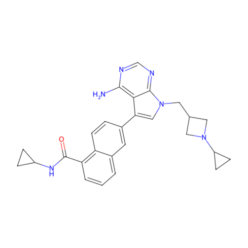 Nc1ncnc2c1c(-c1ccc3c(C(=O)NC4CC4)cccc3c1)cn2CC1CN(C2CC2)C1